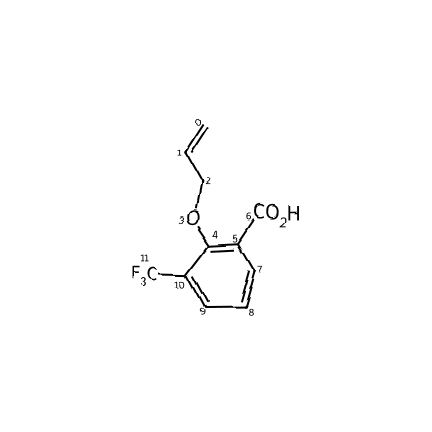 C=CCOc1c(C(=O)O)cccc1C(F)(F)F